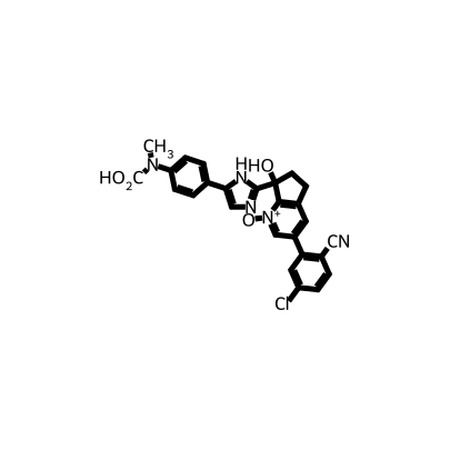 CN(C(=O)O)c1ccc(-c2cnc(C3(O)CCc4cc(-c5cc(Cl)ccc5C#N)c[n+]([O-])c43)[nH]2)cc1